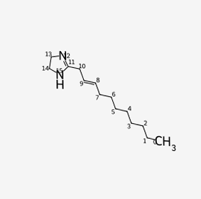 CCCCCCCCC=CCC1=NCCN1